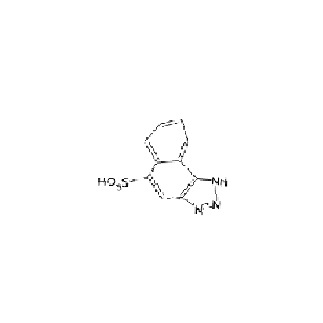 O=S(=O)(O)c1cc2nn[nH]c2c2ccccc12